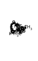 CCN1C[C@H](C)n2c(c(OC)c3c(=O)n4nc(c32)N2CCN(CC2)C(=O)CCCCOc2cc(F)ccc2C4)C1=O